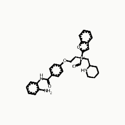 Nc1ccccc1NC(=O)c1ccc(OCC[N+](C=O)(CC2CCCCN2)c2cc3ccccc3o2)cc1